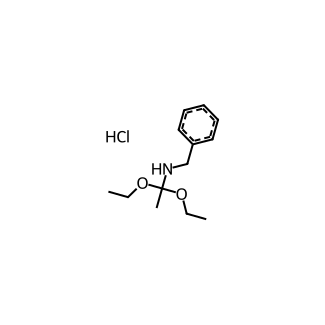 CCOC(C)(NCc1ccccc1)OCC.Cl